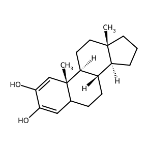 C[C@@]12CCC[C@H]1[C@@H]1CCC3C=C(O)C(O)=C[C@]3(C)[C@H]1CC2